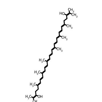 CC(C)=C(O)CC/C(C)=C/C=C/C(C)=C/C=C/C(C)=C/C=C/C=C(C)/C=C/C=C(C)/C=C/C=C(\C)CCC(O)=C(C)C